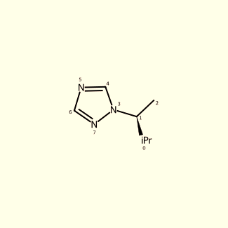 CC(C)[C@H](C)n1cncn1